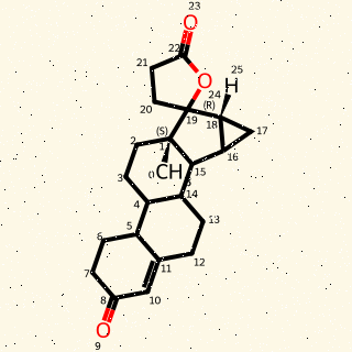 C[C@]12CCC3C4CCC(=O)C=C4CCC3C1C1C[C@H]1C21CCC(=O)O1